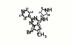 Cc1sc2c(NC3CCNC3)nc(-c3ccncc3)nc2c1Br